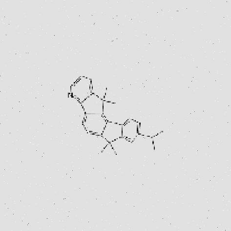 CC(C)c1ccc2c(c1)C(C)(C)c1ccc3c(c1-2)C(C)(C)c1cccnc1-3